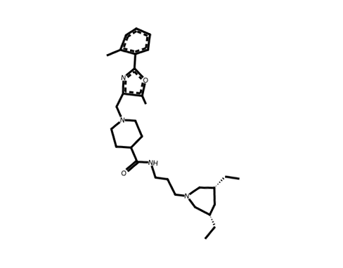 CC[C@@H]1C[C@H](CC)CN(CCCNC(=O)C2CCN(Cc3nc(-c4ccccc4C)oc3C)CC2)C1